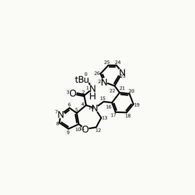 CC(C)(C)NC(=O)C1c2cnccc2OCCN1Cc1ccccc1-c1ncccn1